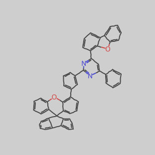 c1ccc(-c2cc(-c3cccc4c3oc3ccccc34)nc(-c3cccc(-c4cccc5c4Oc4ccccc4C54c5ccccc5-c5ccccc54)c3)n2)cc1